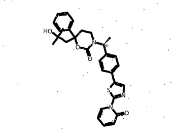 C[C@@H](c1ccc(-c2cnc(-n3ccccc3=O)s2)cc1)N1CCC(CC(C)(C)O)(c2ccccc2)OC1=O